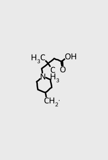 [CH2]C1CCN(CC(C)(C)CC(=O)O)CC1